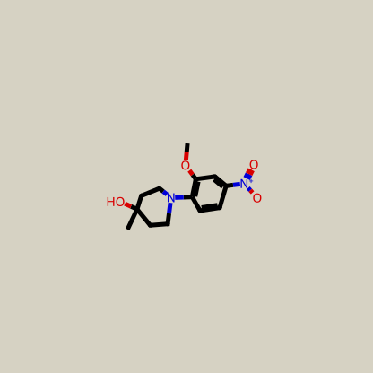 COc1cc([N+](=O)[O-])ccc1N1CCC(C)(O)CC1